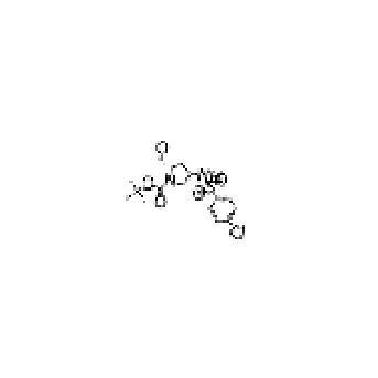 CC(C)(C)OC(=O)N1C[C@H](NS(=O)(=O)c2ccc(Cl)cc2)C[C@H]1C=O